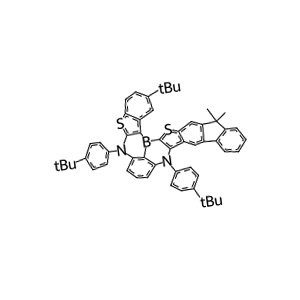 CC(C)(C)c1ccc(N2c3cccc4c3B(c3sc5cc6c(cc5c3N4c3ccc(C(C)(C)C)cc3)-c3ccccc3C6(C)C)c3c2sc2ccc(C(C)(C)C)cc32)cc1